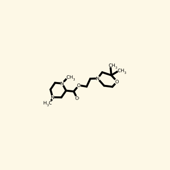 CN1CCN(C)C(C([O])OCCN2CCOC(C)(C)C2)C1